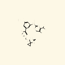 Cc1cc(Nc2ncc(F)c(C(F)F)n2)cc(-c2cn(C[C@H]3OC(=O)NC34CC4)nn2)c1